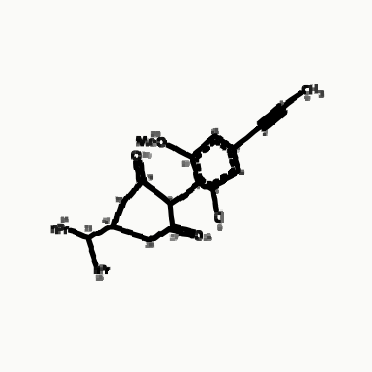 CC#Cc1cc(Cl)c(C2C(=O)CC(C(CCC)CCC)CC2=O)c(OC)c1